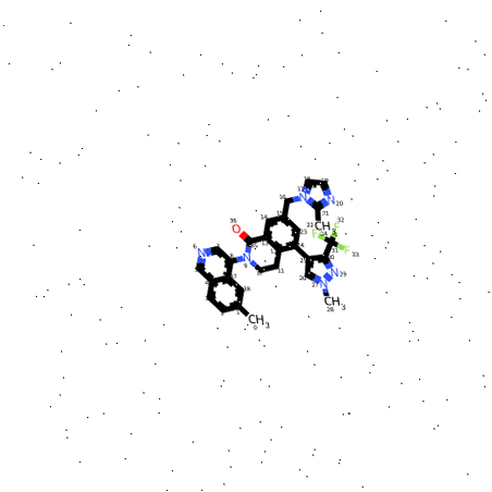 Cc1ccc2cncc(N3CCc4c(cc(Cn5ccnc5C)cc4-c4cn(C)nc4C(F)(F)F)C3=O)c2c1